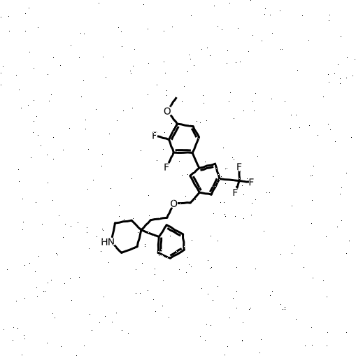 COc1ccc(-c2cc(COCCC3(c4ccccc4)CCNCC3)cc(C(F)(F)F)c2)c(F)c1F